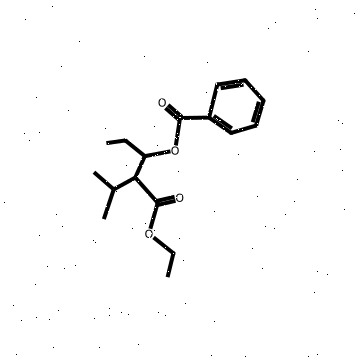 CCOC(=O)C(C(C)C)C(CC)OC(=O)c1ccccc1